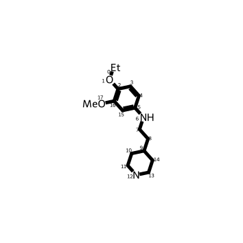 CCOc1ccc(NCCC2CC[N]CC2)cc1OC